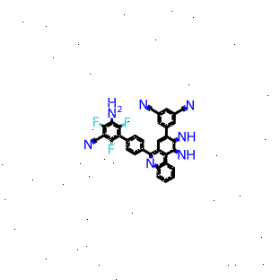 N#Cc1cc(C#N)cc(C2=Cc3c(-c4ccc(-c5c(F)c(N)c(F)c(C#N)c5F)cc4)nc4ccccc4c3C(=N)C2=N)c1